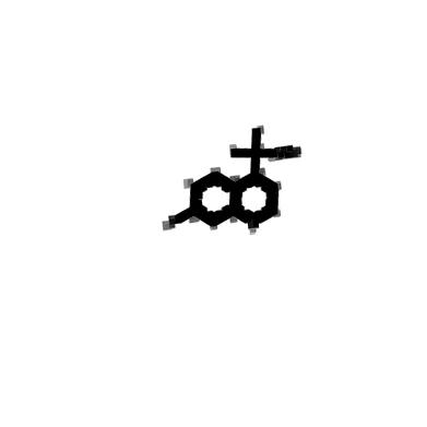 CSC(C)(C)c1ccnc2cc(F)ccc12